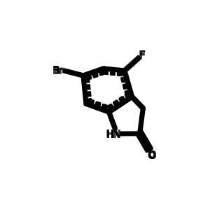 O=C1Cc2c(F)cc(Br)cc2N1